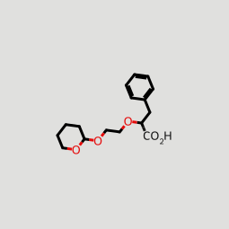 O=C(O)C(Cc1ccccc1)OCCOC1CCCCO1